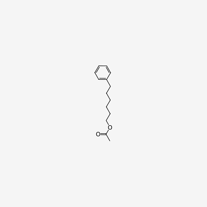 CC(=O)OCCCCCCc1ccccc1